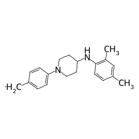 [CH2]c1ccc(N2CCC(Nc3ccc(C)cc3C)CC2)cc1